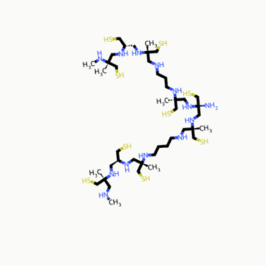 CNC[C@@](C)(CS)NC[C@@H](CS)NC[C@@](C)(CS)NCCCCNC[C@@](C)(CS)NC[C@@](N)(CS)NC[C@@](C)(CS)NCCCNC[C@@](C)(CS)NC[C@@H](CS)NC[C@@](C)(CS)NC